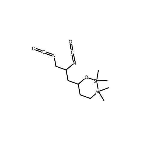 C[Si]1(C)CCC(CC(CN=C=O)N=C=O)O[Si]1(C)C